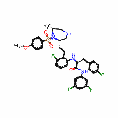 COc1ccc(S(=O)(=O)N2[C@@H](CCc3c(F)cccc3N[C@@H](Cc3ccc(F)cc3)C(=O)Nc3cc(F)cc(F)c3)CNC[C@H]2C)cc1